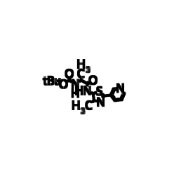 CC1N=C(c2cccnc2)SC1NC(=O)[C@H](C)NC(=O)OC(C)(C)C